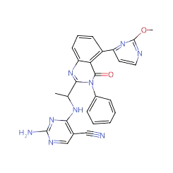 COc1nccc(-c2cccc3nc(C(C)Nc4nc(N)ncc4C#N)n(-c4ccccc4)c(=O)c23)n1